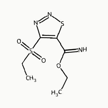 CCOC(=N)c1snnc1S(=O)(=O)CC